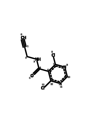 C#CCNC(=O)c1c(Cl)ncnc1Cl